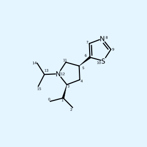 CC(C)[C@@H]1C[C@H](c2cncs2)CN1C(C)C